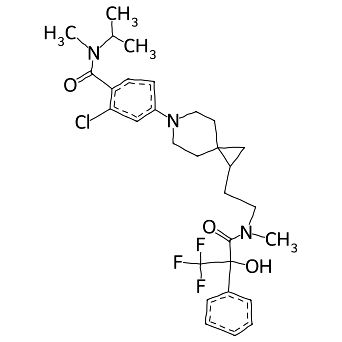 CC(C)N(C)C(=O)c1ccc(N2CCC3(CC2)CC3CCN(C)C(=O)C(O)(c2ccccc2)C(F)(F)F)cc1Cl